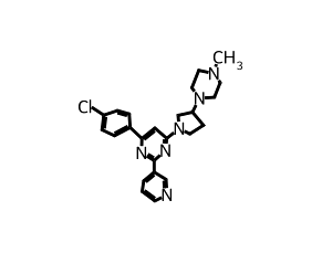 CN1CCN(C2CCN(c3cc(-c4ccc(Cl)cc4)nc(-c4cccnc4)n3)C2)CC1